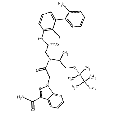 Cc1ccccc1-c1cccc(NC(=O)CN(C(=O)Cn2nc(C(N)=O)c3ccccc32)C(C)CO[Si](C)(C)C(C)(C)C)c1F